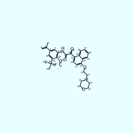 C=C(C)c1cc(NC(=O)C(=O)c2ccc(OCCN3CCOCC3)c3ccccc23)c(OC)c(C(F)(F)F)c1